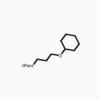 [CH2]CCCCCCCOC1[CH]CCCC1